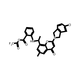 Cc1cc(C(C)Nc2ccccc2C(=O)OC(=O)C(F)(F)F)c2oc(N3Cc4ccc(Cl)cc4C3)cc(=O)c2c1